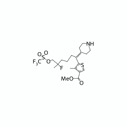 COC(=O)c1csc(C(CCCC(C)(F)COS(=O)(=O)C(F)(F)F)=C2CCNCC2)c1C